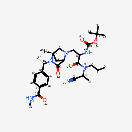 CCCN(C(=O)C(CN1C[C@@H]2CC1C(=O)N2[C@@H](C)c1ccc(C(=O)NC)cc1)NC(=O)OC(C)(C)C)C(C)C#N